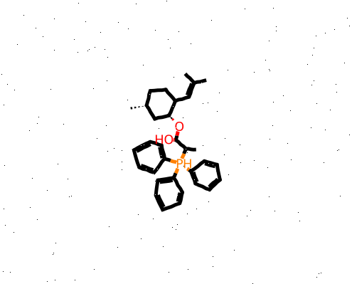 CC(C)=CC1CC[C@@H](C)C[C@H]1OC(O)C(C)[PH](c1ccccc1)(c1ccccc1)c1ccccc1